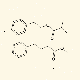 CC(C)C(=O)OCCc1ccccc1.COC(=O)CCCc1ccccc1